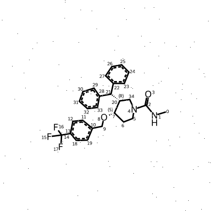 CNC(=O)N1CC[C@H](OCc2ccc(C(F)(F)F)cc2)[C@H](C(c2ccccc2)c2ccccc2)C1